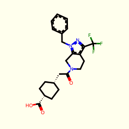 O=C(C[C@H]1CC[C@@H](C(=O)O)CC1)N1CCc2c(C(F)(F)F)nn(Cc3ccccc3)c2C1